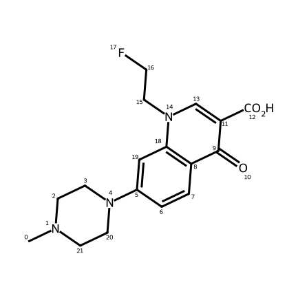 CN1CCN(c2ccc3c(=O)c(C(=O)O)cn(CCF)c3c2)CC1